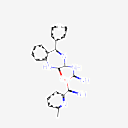 Cc1cccc(C(=N)OC(=N)NC2N=C(c3ccccc3)c3ccccc3NC2=O)n1